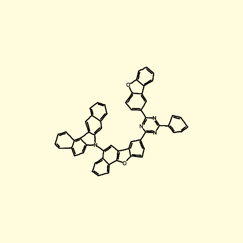 c1ccc(-c2nc(-c3ccc4oc5ccccc5c4c3)nc(-c3ccc4oc5c6ccccc6c(-n6c7cc8ccccc8cc7c7c8ccccc8ccc76)cc5c4c3)n2)cc1